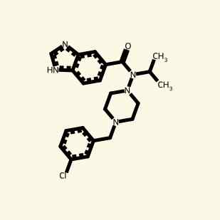 CC(C)N(C(=O)c1ccc2[nH]cnc2c1)N1CCN(Cc2cccc(Cl)c2)CC1